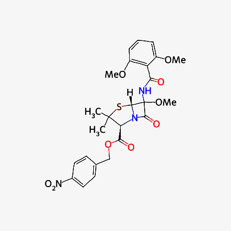 COc1cccc(OC)c1C(=O)NC1(OC)C(=O)N2[C@@H](C(=O)OCc3ccc([N+](=O)[O-])cc3)C(C)(C)S[C@@H]21